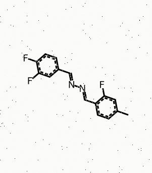 Cc1ccc(C=NN=Cc2ccc(F)c(F)c2)c(F)c1